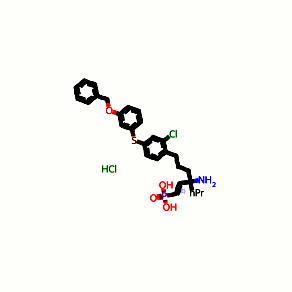 CCCC(N)(/C=C/P(=O)(O)O)CCCc1ccc(Sc2cccc(OCc3ccccc3)c2)cc1Cl.Cl